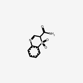 NC(=O)C1C=Nc2ccccc2S1(=O)=O